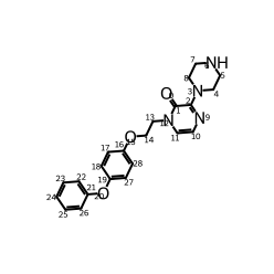 O=c1c(N2CCNCC2)nccn1CCOc1ccc(Oc2ccccc2)cc1